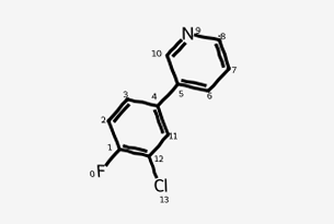 Fc1ccc(-c2cc[c]nc2)cc1Cl